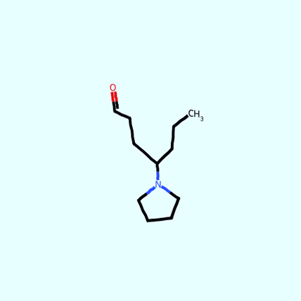 CCCC(CCC=O)N1CCCC1